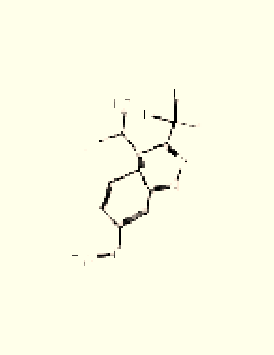 COc1ccc2c(C(C)C)c(C(F)(F)F)nnc2c1